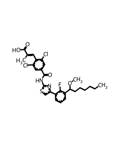 CCCCCCC(OC)c1cccc(-c2csc(NC(=O)c3cc(Cl)c(C=C(C)C(=O)O)c(Cl)c3)n2)c1F